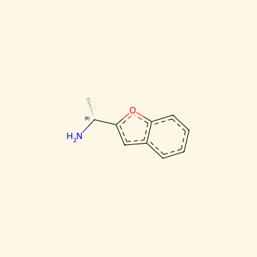 C[C@@H](N)c1cc2ccccc2o1